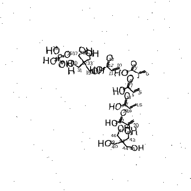 C=CC(=O)O.C=CC(=O)O.C=CC(=O)O.C=CC(=O)O.C=CC(=O)O.O=P(O)(O)O.OCC(CO)(CO)CO.OCC(CO)(CO)CO